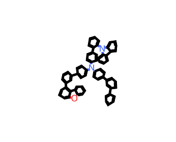 c1ccc(-c2cccc(-c3ccc(N(c4ccc(-c5cccc(-c6cccc7oc8ccccc8c67)c5)cc4)c4ccc(-c5ccccc5-n5c6ccccc6c6ccccc65)cc4)cc3)c2)cc1